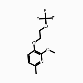 COc1nc(C)ccc1OCCOC(F)(F)F